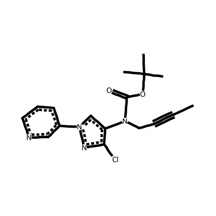 CC#CCN(C(=O)OC(C)(C)C)c1cn(-c2cccnc2)nc1Cl